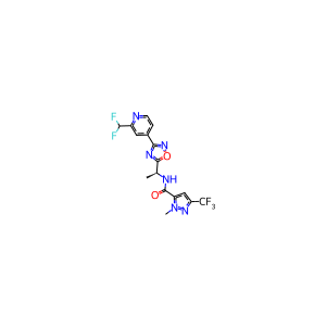 C[C@H](NC(=O)c1cc(C(F)(F)F)nn1C)c1nc(-c2ccnc(C(F)F)c2)no1